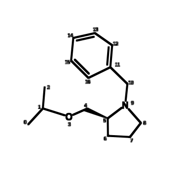 CC(C)OC[C@@H]1CCCN1Cc1ccccc1